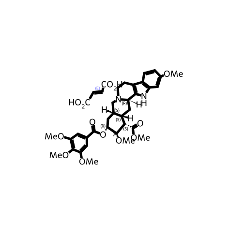 COC(=O)[C@H]1[C@H]2C[C@@H]3c4[nH]c5cc(OC)ccc5c4CCN3C[C@H]2C[C@@H](OC(=O)c2cc(OC)c(OC)c(OC)c2)[C@@H]1OC.O=C(O)/C=C/C(=O)O